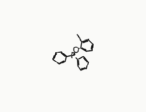 Cc1ccccc1OP(c1ccccc1)c1ccccc1